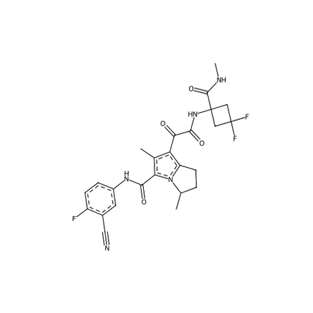 CNC(=O)C1(NC(=O)C(=O)c2c(C)c(C(=O)Nc3ccc(F)c(C#N)c3)n3c2CCC3C)CC(F)(F)C1